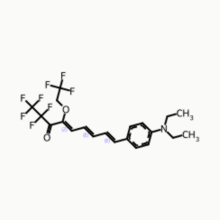 CCN(CC)c1ccc(/C=C/C=C/C=C(\OCC(F)(F)F)C(=O)C(F)(F)C(F)(F)F)cc1